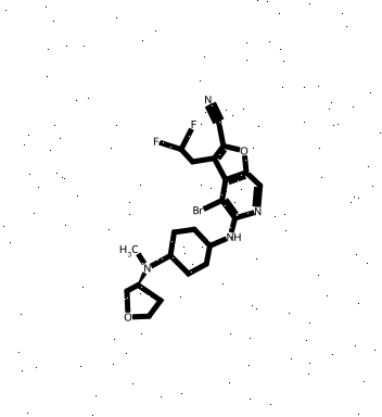 CN(C1CCC(Nc2ncc3oc(C#N)c(CC(F)F)c3c2Br)CC1)[C@H]1CCOC1